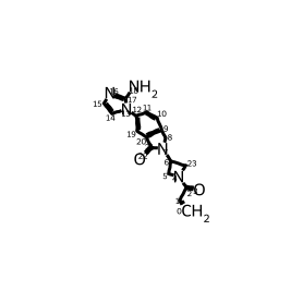 C=CC(=O)N1CC(N2Cc3ccc(-n4ccnc4N)cc3C2=O)C1